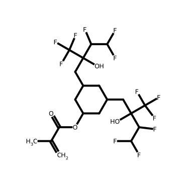 C=C(C)C(=O)OC1CC(CC(O)(C(F)C(F)F)C(F)(F)F)CC(CC(O)(C(F)C(F)F)C(F)(F)F)C1